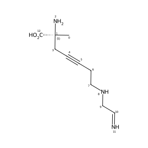 C[C@](N)(CC#CCCNCC=N)C(=O)O